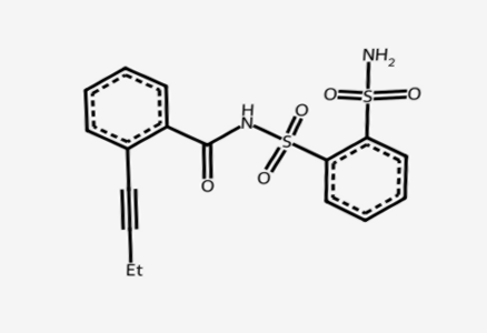 CCC#Cc1ccccc1C(=O)NS(=O)(=O)c1ccccc1S(N)(=O)=O